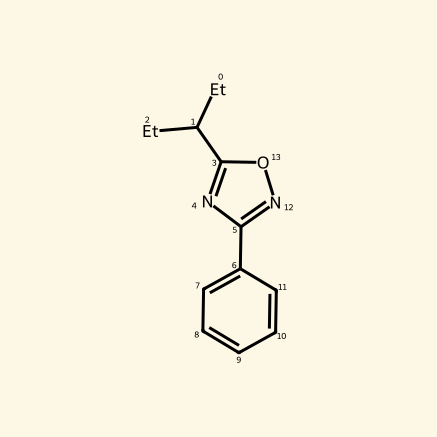 CCC(CC)c1nc(-c2ccccc2)no1